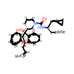 CNC[C@H](CC1CC1)NC(=O)N1CCC[C@@H]([C@@](O)(CCCCOC)c2ccccc2Oc2ccccc2)C1